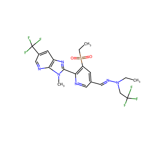 CCN(CC(F)(F)F)/N=C/c1cnc(-c2nc3cc(C(F)(F)F)cnc3n2C)c(S(=O)(=O)CC)c1